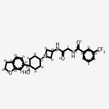 O=C(CNC(=O)c1cccc(C(F)(F)F)c1)NC1CN([C@H]2CC[C@@](O)(c3ccc4c(c3)OCC4)CC2)C1